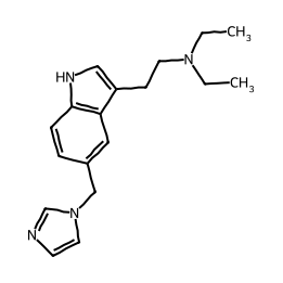 CCN(CC)CCc1c[nH]c2ccc(Cn3ccnc3)cc12